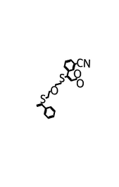 C=C(SCCOCCSc1cc(=O)oc2c(C#N)cccc12)c1ccccc1